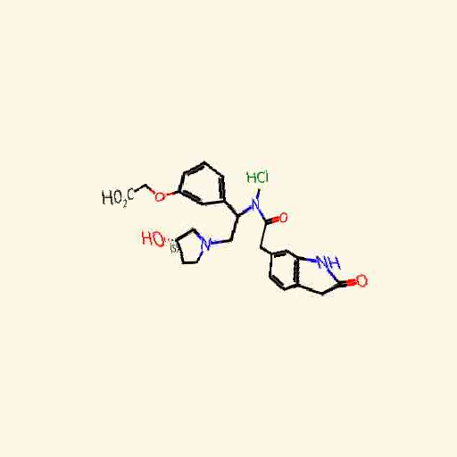 CN(C(=O)Cc1ccc2c(c1)NC(=O)C2)C(CN1CC[C@H](O)C1)c1cccc(OCC(=O)O)c1.Cl